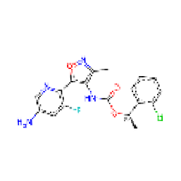 Cc1noc(-c2ncc(N)cc2F)c1NC(=O)O[C@H](C)c1ccccc1Cl